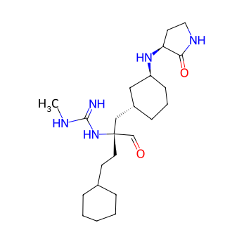 CNC(=N)N[C@](C=O)(CCC1CCCCC1)C[C@H]1CCC[C@H](N[C@H]2CCNC2=O)C1